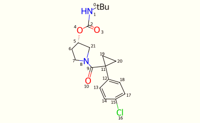 CC(C)(C)NC(=O)O[C@H]1CCN(C(=O)C2(c3ccc(Cl)cc3)CC2)C1